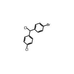 Clc1ccc(C(Cl)c2ccc(Br)cc2)cc1